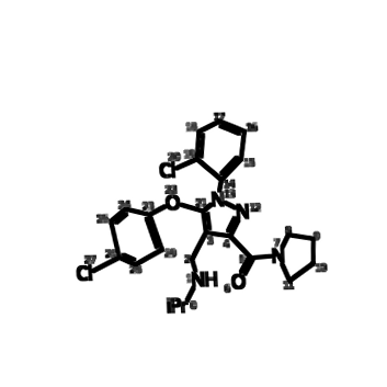 CC(C)NCc1c(C(=O)N2CCCC2)nn(-c2ccccc2Cl)c1Oc1ccc(Cl)cc1